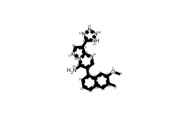 COc1cc2c(-c3cnc4c(-c5nnn[nH]5)cnn4c3N)cccc2cc1C